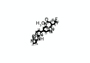 CN1C(=O)CC(CC(F)(F)F)c2nnc3cc(-c4ccnc(Nc5ccnn5C)n4)cc1n23